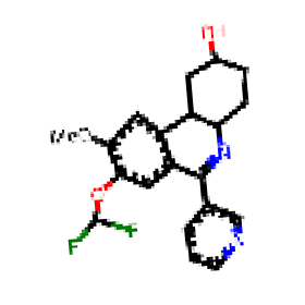 COc1cc2c(cc1OC(F)F)C(c1cccnc1)=NC1CCC(O)CC21